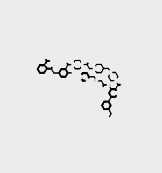 CCc1cccc(-c2cnc(C(=O)N3CCN(CC4CCN(CC(=O)N5CCN(C(=O)c6cc(Cc7n[nH]c(=O)c8ccccc78)ccc6F)CC5)CC4)CC3)c(NC(=O)CNCc3ccncn3)c2)c1